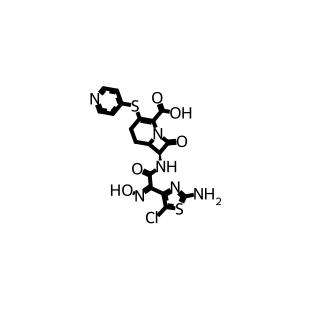 Nc1nc(/C(=N/O)C(=O)N[C@@H]2C(=O)N3C(C(=O)O)=C(Sc4ccncc4)CCC23)c(Cl)s1